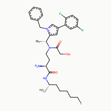 CC(C)(C)[C@H](c1cc(-c2cc(F)ccc2F)cn1Cc1ccccc1)N(CC[C@H](N)C(=O)N[C@H](CCCCCI)C(=O)O)C(=O)CO